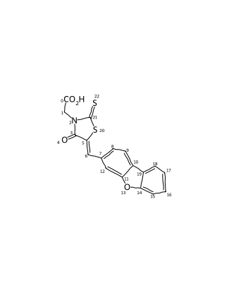 O=C(O)CN1C(=O)C(=Cc2ccc3c(c2)oc2ccccc23)SC1=S